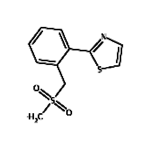 [CH2]S(=O)(=O)Cc1ccccc1-c1nccs1